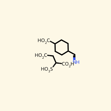 N=CC1CCC(C(=O)O)CC1.O=C(O)CC(C(=O)O)S(=O)(=O)O